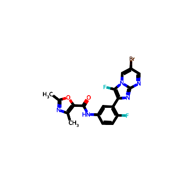 Cc1nc(C)c(C(=O)Nc2ccc(F)c(-c3nc4ncc(Br)cn4c3F)c2)o1